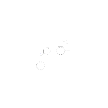 CCn1c(-c2ccc(Cl)c(S(N)(=O)=O)c2)cs/c1=N/c1ccccc1.Cl